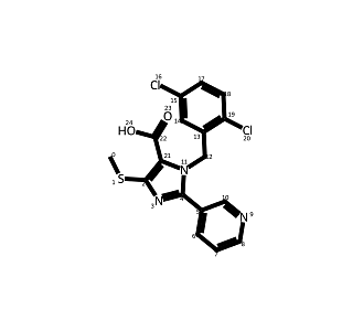 CSc1nc(-c2cccnc2)n(Cc2cc(Cl)ccc2Cl)c1C(=O)O